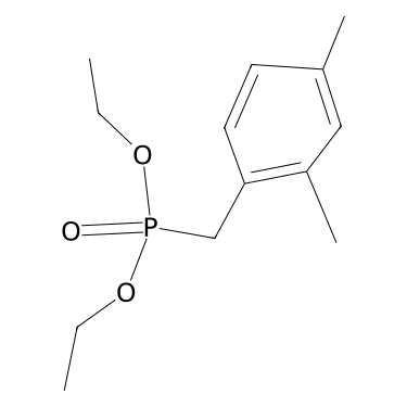 CCOP(=O)(Cc1ccc(C)cc1C)OCC